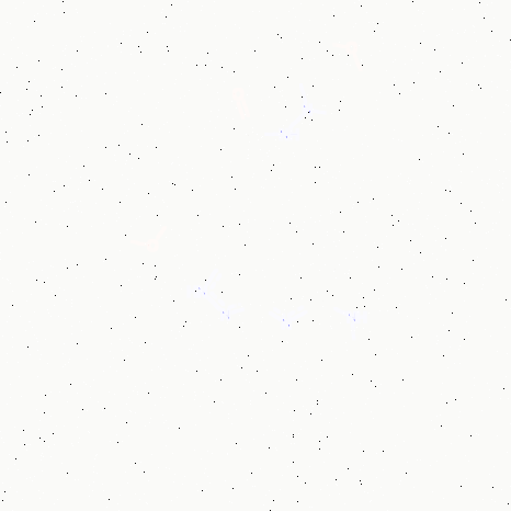 COc1ccc(C(=O)NN2CCOCC2)cc1-c1[nH]nc2nc(Nc3ccc(F)cc3F)ccc12